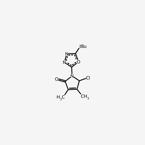 CC1=C(C)C(Cl)N(c2nnc(C(C)(C)C)o2)C1=O